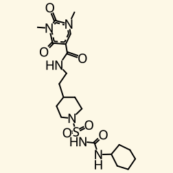 Cn1cc(C(=O)NCCC2CCN(S(=O)(=O)NC(=O)NC3CCCCC3)CC2)c(=O)n(C)c1=O